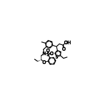 CCc1cc(C(CC(=O)O)c2ccc(C)c(CN3C[C@@H](CC)Oc4ccccc4S3(=O)=O)c2)cs1